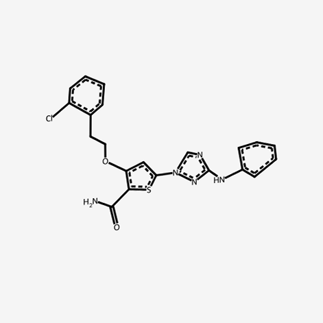 NC(=O)c1sc(-n2cnc(Nc3ccccc3)n2)cc1OCCc1ccccc1Cl